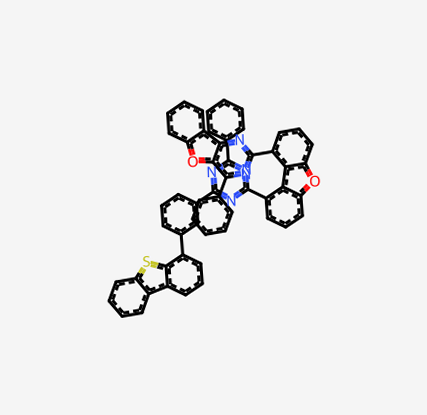 c1ccc(-c2nc(-c3cccc(-c4cccc5c4sc4ccccc45)c3)nc(-c3cccc4oc5cccc(-c6nc(-c7ccccc7)c7oc8ccccc8c7n6)c5c34)n2)cc1